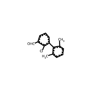 Cc1cccc(C)c1-c1cccc(C=O)c1Cl